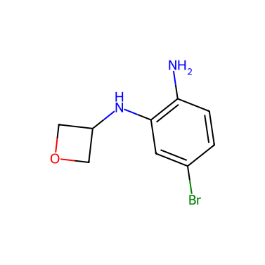 Nc1ccc(Br)cc1NC1COC1